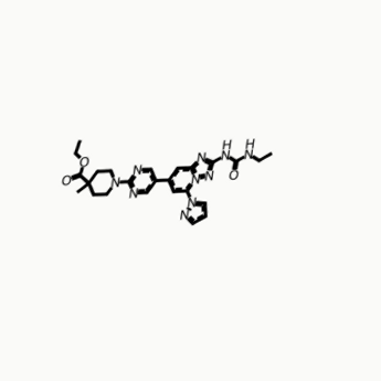 CCNC(=O)Nc1nc2cc(-c3cnc(N4CCC(C)(C(=O)OCC)CC4)nc3)cc(-n3cccn3)n2n1